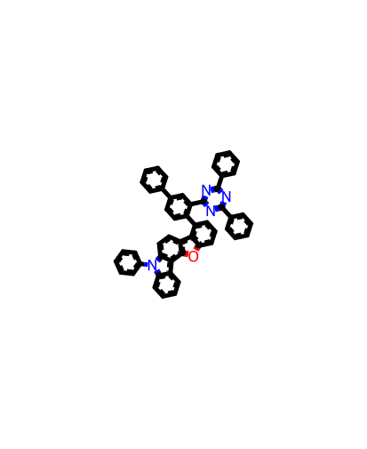 c1ccc(-c2ccc(-c3cccc4oc5c(ccc6c5c5ccccc5n6-c5ccccc5)c34)c(-c3nc(-c4ccccc4)nc(-c4ccccc4)n3)c2)cc1